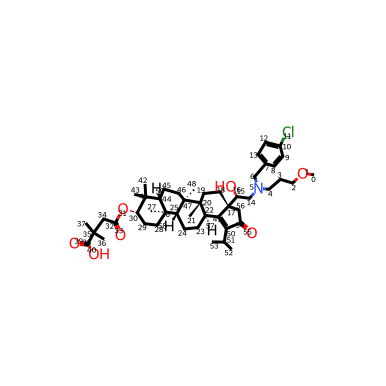 COCCCN(Cc1ccc(Cl)cc1)C[C@H](O)[C@@]12CC[C@]3(C)[C@H](CC[C@@H]4[C@@]5(C)CC[C@H](OC(=O)CC(C)(C)C(=O)O)C(C)(C)[C@@H]5CC[C@]43C)C1=C(C(C)C)C(=O)C2